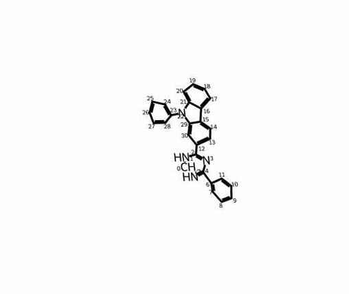 CN/C(=N\C(=N)c1ccccc1)c1ccc2c3ccccc3n(-c3ccccc3)c2c1